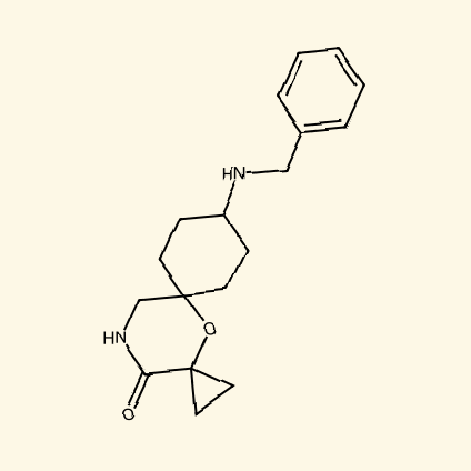 O=C1NCC2(CCC(NCc3ccccc3)CC2)OC12CC2